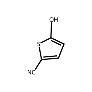 N#Cc1ccc(O)s1